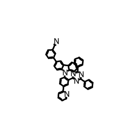 N#Cc1cccc(-c2ccc3c(c2)c2ccccc2n3-c2ccc(-c3ccccn3)cc2-c2nc(-c3ccccc3)nc(-c3ccccc3)n2)c1